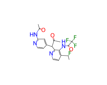 CC(=O)Nc1cc(C(C(C)=O)c2nccc(C(C)F)c2NC(=O)C(F)(F)F)ccn1